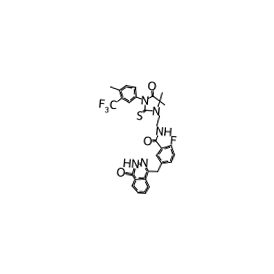 Cc1ccc(N2C(=O)C(C)(C)N(CCNC(=O)c3cc(Cc4n[nH]c(=O)c5ccccc45)ccc3F)C2=S)cc1C(F)(F)F